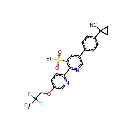 CCS(=O)(=O)c1cc(-c2ccc(C3(C#N)CC3)cc2)cnc1-c1ccc(OCC(F)(F)C(F)(F)F)cn1